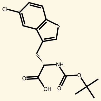 CC(C)(C)OC(=O)N[C@@H](Cc1csc2ccc(Cl)cc12)C(=O)O